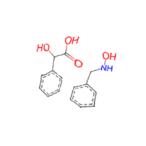 O=C(O)C(O)c1ccccc1.ONCc1ccccc1